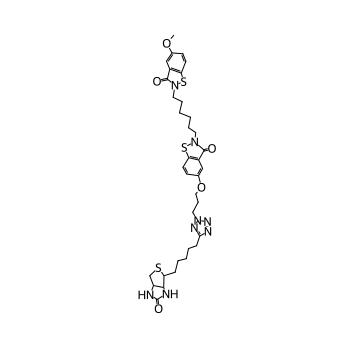 COc1ccc2sn(CCCCCCn3sc4ccc(OCCCn5nnc(CCCCCC6SCC7NC(=O)NC76)n5)cc4c3=O)c(=O)c2c1